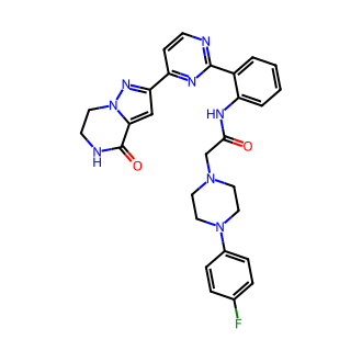 O=C(CN1CCN(c2ccc(F)cc2)CC1)Nc1ccccc1-c1nccc(-c2cc3n(n2)CCNC3=O)n1